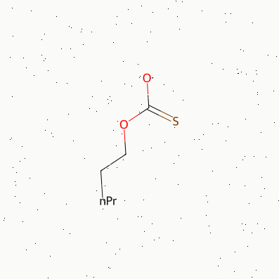 CCCCCOC([O])=S